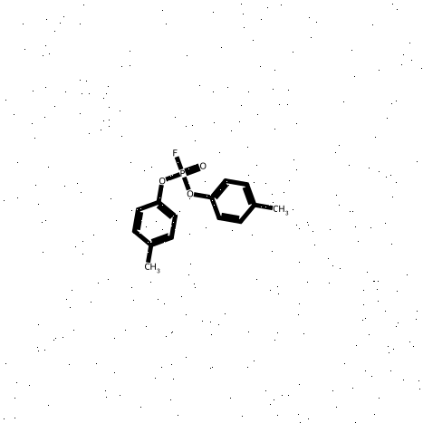 Cc1ccc(OP(=O)(F)Oc2ccc(C)cc2)cc1